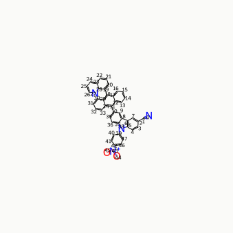 N#Cc1ccc2c(c1)c1cc(-c3c4ccccc4c(-c4cccc5cccnc45)c4ccccc34)ccc1n2-c1ccc([N+](=O)[O-])cc1